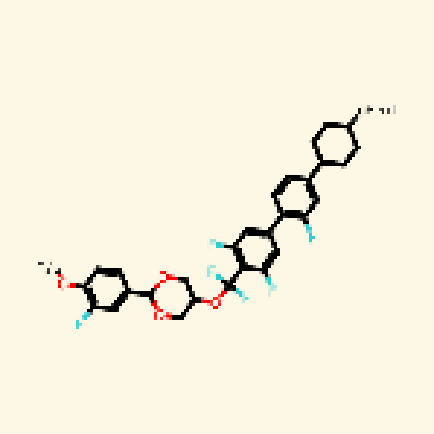 CCCCCC1CCC(c2ccc(-c3cc(F)c(C(F)(F)OC4COC(c5ccc(OC(F)(F)F)c(F)c5)OC4)c(F)c3)c(F)c2)CC1